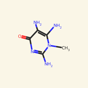 Cn1c(N)nc(=O)c(N)c1N